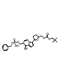 CC(C)(C)COC(=O)OC[C@@H]1CC[C@H](c2ccc3c(=N)n(COP(=O)(O)OCc4ccccc4)cnn23)O1